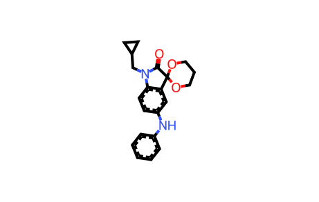 O=C1N(CC2CC2)c2ccc(Nc3ccccc3)cc2C12OCCCO2